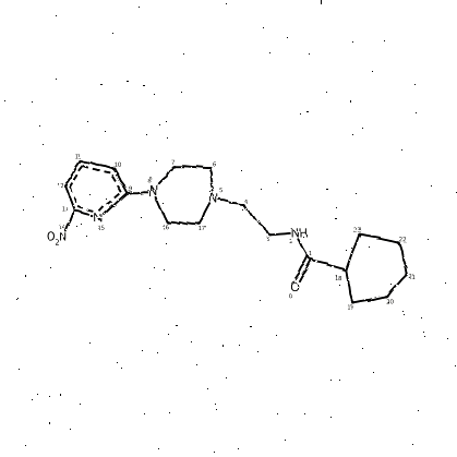 O=C(NCCN1CCN(c2cccc([N+](=O)[O-])n2)CC1)C1CCCCC1